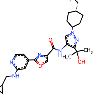 CC[C@H]1CC[C@@H](n2cc(NC(=O)c3coc(-c4ccnc(NCC5CC5)c4)n3)c(C(C)(C)O)n2)CC1